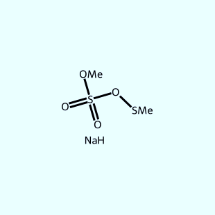 COS(=O)(=O)OSC.[NaH]